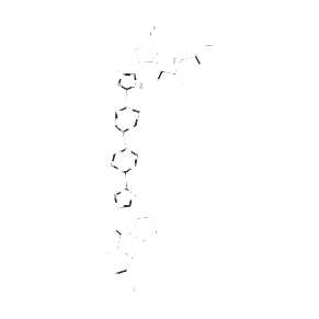 COC(=O)N[C@@H](C)C(=O)N1CCC[C@H]1c1ncc(-c2ccc(-c3ccc(-c4cnc([C@@H]5C[C@@H](O)CN5C(=O)[C@H](C)NC(=O)OC)[nH]4)cc3)cc2)[nH]1